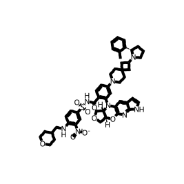 Cc1ccccc1[C@@H]1CCCN1C1CC2(CCN(c3ccc(C(=O)NS(=O)(=O)c4ccc(NCC5CCOCC5)c([N+](=O)[O-])c4)c(N4c5cc6cc[nH]c6nc5O[C@H]5COC[C@@H]54)c3)CC2)C1